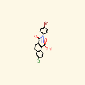 O=C(O)C1=C(C(=O)Nc2ccc(Br)cc2)CCc2cc(Cl)ccc21